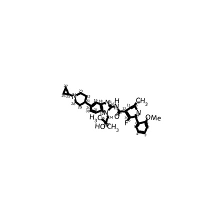 COc1ccccc1-c1nc(C)cc(C(=O)Nc2nc3cc(C4CCN(C5CC5)CC4)ccc3n2CC(C)(C)O)c1F